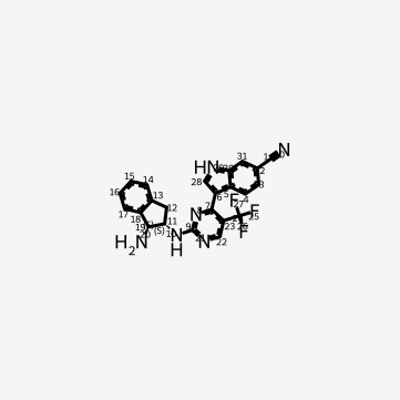 N#Cc1ccc2c(-c3nc(N[C@H]4Cc5ccccc5[C@@H]4N)ncc3C(F)(F)F)c[nH]c2c1